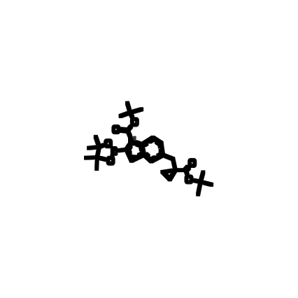 CC(C)(C)OC(=O)n1c(B2OC(C)(C)C(C)(C)O2)cc2cc(CC3(C(=O)OC(C)(C)C)CC3)ccc21